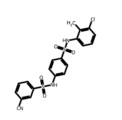 Cc1c(Cl)cccc1NS(=O)(=O)c1ccc(NS(=O)(=O)c2cccc(C#N)c2)cc1